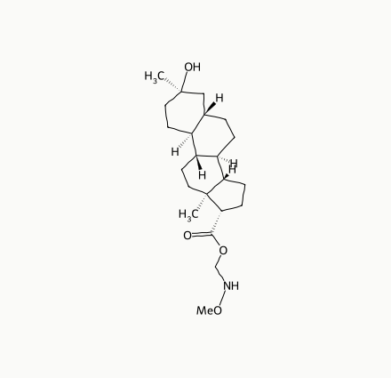 CONCOC(=O)[C@H]1CC[C@H]2[C@@H]3CC[C@H]4C[C@](C)(O)CC[C@@H]4[C@H]3CC[C@]12C